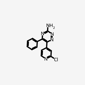 Nc1nnc(-c2ccnc(Cl)c2)c(-c2ccccc2)n1